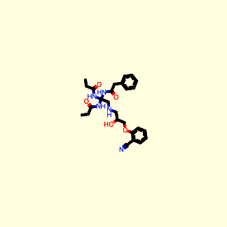 CCC(=O)NC(CNCC(O)COc1ccccc1C#N)(NC(=O)CC)NC(=O)Cc1ccccc1